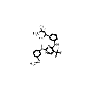 COc1cccc(Nc2ncc(C(F)(F)F)c(Nc3cccc(C(O)C=C(C)C)c3)n2)c1